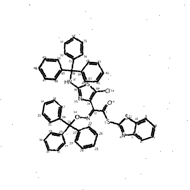 O=C(Sc1nc2ccccc2s1)C(=NOC(c1ccccc1)(c1ccccc1)c1ccccc1)c1nc(NC(c2ccccc2)(c2ccccc2)c2ccccc2)sc1Cl